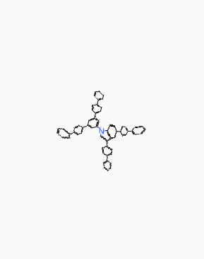 c1ccc(-c2ccc(-c3cc(-c4ccc(-c5ccccc5)cc4)cc(-n4cc(-c5ccc(-c6ccccc6)cc5)c5cc(-c6ccc(-c7ccccc7)cc6)ccc54)c3)cc2)cc1